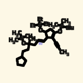 CC#CC1=C(O[Si](C)(C)C(C)(C)C)CC(O[Si](CC)(CC)CC)C1/C=C/CC(C)(CCC1CCCC1)O[Si](C)(C)C